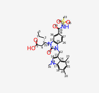 CCC[C@@H](CC(=O)O)n1c(=O)n(Cc2cn(C)c3cc(C)cc(C)c23)c2ccc(C(=O)NS(C)(=O)=O)cc21